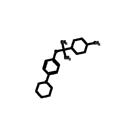 CC1CCC(C(C)(C)Oc2ccc(N3CCCCC3)cc2)CC1